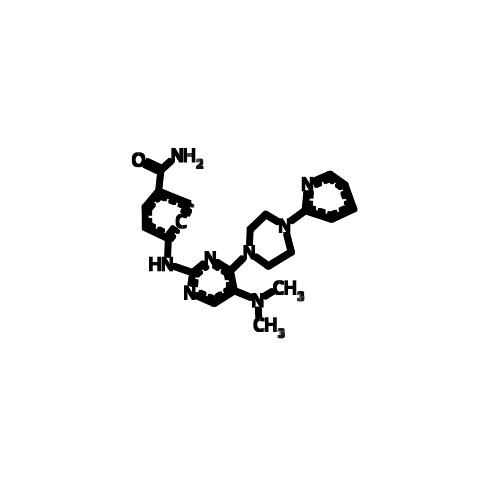 CN(C)c1cnc(Nc2ccc(C(N)=O)cc2)nc1N1CCN(c2ccccn2)CC1